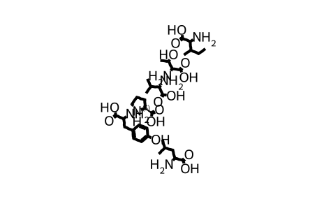 CC(C)C(N)C(=O)O.CC(C)CC(N)C(=O)O.CC(O)C(N)C(=O)O.CCC(C)C(N)C(=O)O.NC(Cc1ccc(O)cc1)C(=O)O.O=C(O)[C@@H]1CCCN1